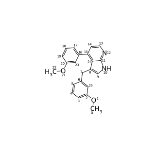 COc1cccc(Cc2c[nH]c3nccc(-c4cccc(OC)c4)c23)c1